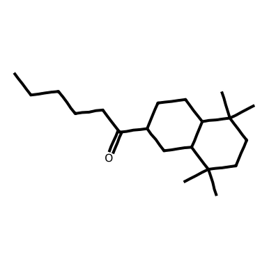 CCCCCC(=O)C1CCC2C(C1)C(C)(C)CCC2(C)C